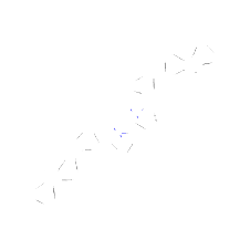 CC1(C)c2ccccc2-c2ccc(-c3cccc(-c4ccc5c(n4)-c4nc(-c6cccc(-c7ccc8c(c7)C(C)(C)c7ccccc7-8)c6)ccc4C5(C)C)c3)cc21